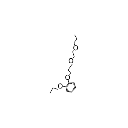 CCCOCCOCCCOc1ccccc1OCCC